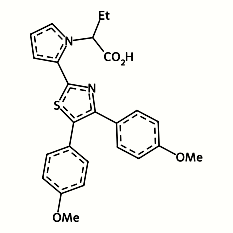 CCC(C(=O)O)n1cccc1-c1nc(-c2ccc(OC)cc2)c(-c2ccc(OC)cc2)s1